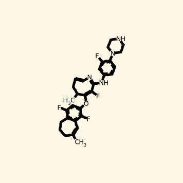 CC1=Cc2c(F)c(O/C3=C(F)/C(Nc4ccc(N5CCNCC5)c(F)c4)=N\C=C\CC3C)cc(F)c2CCC1